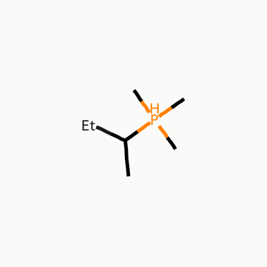 CCC(C)[PH](C)(C)C